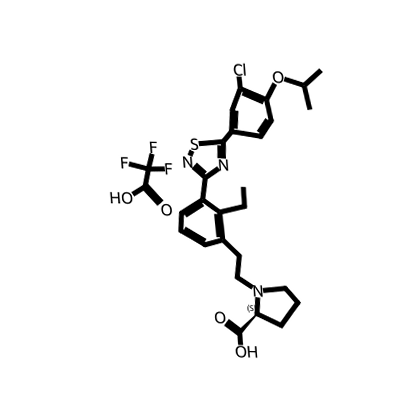 CCc1c(CCN2CCC[C@H]2C(=O)O)cccc1-c1nsc(-c2ccc(OC(C)C)c(Cl)c2)n1.O=C(O)C(F)(F)F